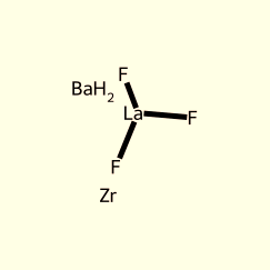 [BaH2].[F][La]([F])[F].[Zr]